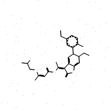 CCc1ccc(C)c(C2C=C3C(=CC2CC)NC(=O)/C3=C(/C)NC(=N)/C=C(/C)NCC(C)F)c1